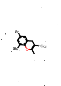 CCCCCCCCC1=C(C)Oc2c(cc(CC)cc2C(C)(C)C)C1